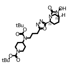 CC(C)(C)OC(=O)N1CCC(N(CCCc2nnc([C@@H]3CC[C@H]4CN3C(=O)N4O)o2)C(=O)OC(C)(C)C)CC1